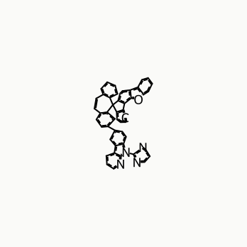 C1=Cc2ccc(-c3ccc4c(c3)c3cccnc3n4-c3ncccn3)cc2C2(c3ccccc31)c1ccccc1-c1c2ccc2c1oc1ccccc12